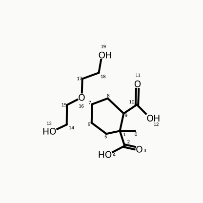 CC1(C(=O)O)CCCCC1C(=O)O.OCCOCCO